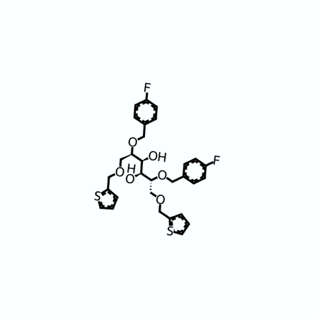 O[C@@H]([C@H](O)[C@@H](COCc1cccs1)OCc1ccc(F)cc1)[C@@H](COCc1cccs1)OCc1ccc(F)cc1